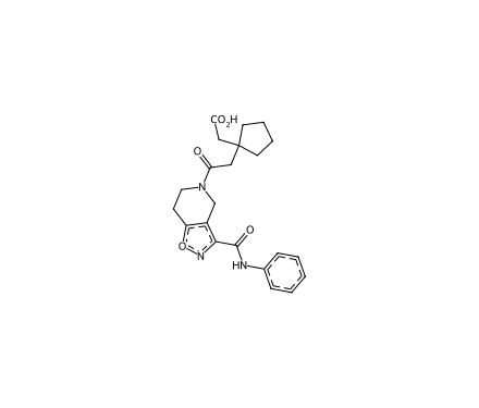 O=C(O)CC1(CC(=O)N2CCc3onc(C(=O)Nc4ccccc4)c3C2)CCCC1